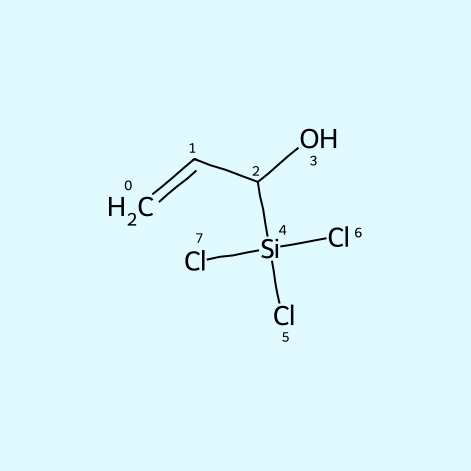 C=CC(O)[Si](Cl)(Cl)Cl